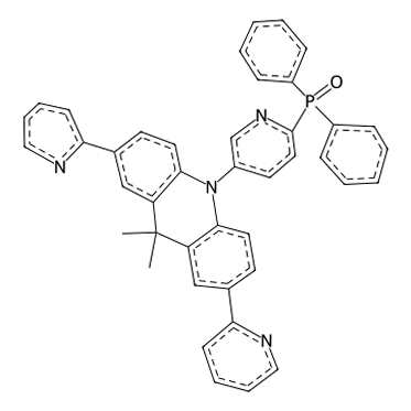 CC1(C)c2cc(-c3ccccn3)ccc2N(c2ccc(P(=O)(c3ccccc3)c3ccccc3)nc2)c2ccc(-c3ccccn3)cc21